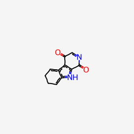 O=C1N=CC(=O)c2c1[nH]c1c2=CCCC=1